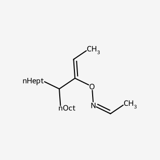 C/C=N\O/C(=C\C)C(CCCCCCC)CCCCCCCC